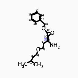 CC(C)CCOCC/C(N)=C1/OC1OCc1ccccc1